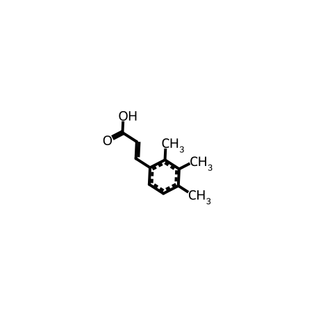 Cc1ccc(/C=C/C(=O)O)c(C)c1C